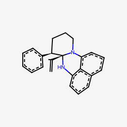 C=C(C)[C@]12Nc3cccc4cccc(c34)N1CCC[C@@H]2c1ccccc1